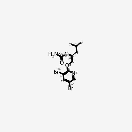 CC(C)C[C@@H](COc1ncc(Br)cc1Br)OC(N)=O